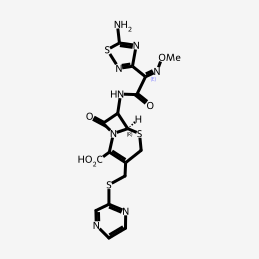 CO/N=C(/C(=O)NC1C(=O)N2C(C(=O)O)=C(CSc3cnccn3)CS[C@H]12)c1nsc(N)n1